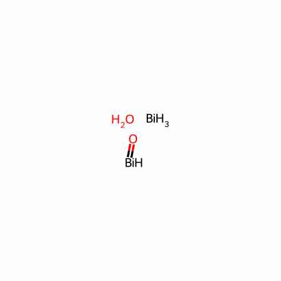 O.[BiH3].[O]=[BiH]